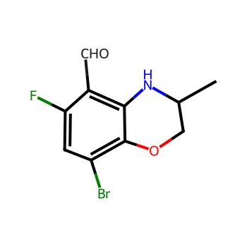 CC1COc2c(Br)cc(F)c(C=O)c2N1